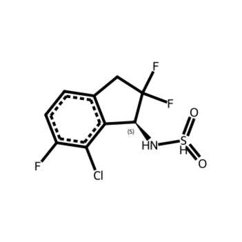 O=[SH](=O)N[C@H]1c2c(ccc(F)c2Cl)CC1(F)F